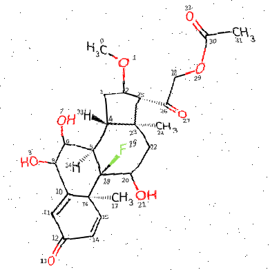 COC1C[C@H]2[C@@H]3C(O)C(O)C4=CC(=O)C=C[C@]4(C)[C@@]3(F)C(O)C[C@]2(C)[C@H]1C(=O)COC(C)=O